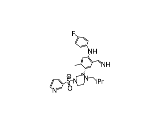 Cc1cc(Nc2ccc(F)cc2)c(C=N)cc1[C@H]1CN(S(=O)(=O)c2cccnc2)CCN1CC(C)C